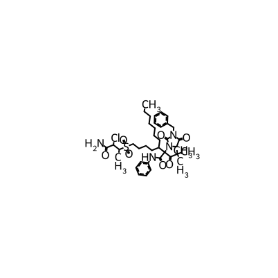 CCCCCCCC(CCCCS(=O)(=O)C(C)C(Cl)C(N)=O)C(C(=O)Nc1ccccc1)(C(=O)C(C)(C)C)N1CC(=O)N(Cc2ccccc2)C1=O